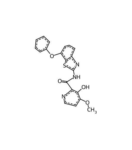 COc1ccnc(C(=O)Nc2nc3cccc(Oc4ccccc4)c3s2)c1O